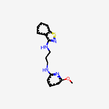 COc1cccc(NCCCNc2nsc3ccccc23)n1